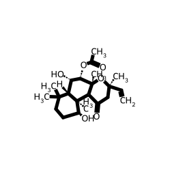 C=C[C@@]1(C)CC(=O)C2[C@@]3(C)[C@@H](O)CCC(C)(C)[C@@H]3[C@H](O)[C@H](OC(C)=O)[C@@]2(C)O1